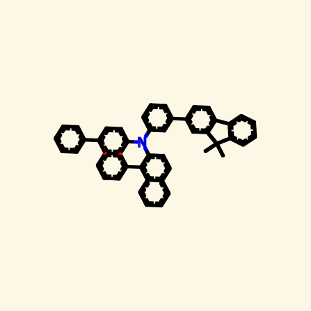 CC1(C)c2ccccc2-c2ccc(-c3cccc(N(c4ccc(-c5ccccc5)cc4)c4ccc5ccccc5c4-c4ccccc4)c3)cc21